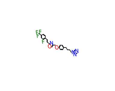 Fc1cc(C(F)(F)F)ccc1/C=C/c1nc(COc2ccc(CCCCn3cncn3)cc2)co1